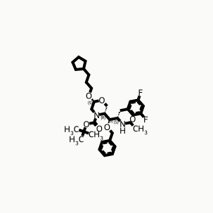 CC(=O)N[C@@H](Cc1cc(F)cc(F)c1)[C@H](OCc1ccccc1)[C@H]1CO[C@H](OCCCC2CCCC2)CN1C(=O)OC(C)(C)C